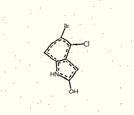 Oc1cc2c(Cl)c(Br)ccc2[nH]1